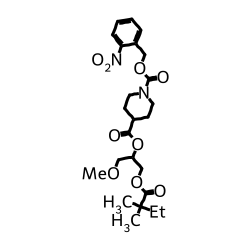 CCC(C)(C)C(=O)OCC(COC)OC(=O)C1CCN(C(=O)OCc2ccccc2[N+](=O)[O-])CC1